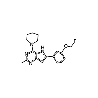 Cc1nc(N2CCCCC2)c2[nH]c(-c3cccc(OCF)c3)cc2n1